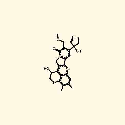 CC[C@@](O)(C=O)c1cc2n(c(=O)c1COC)Cc1c-2nc2cc(F)c(C)c3c2c1C(O)CS3